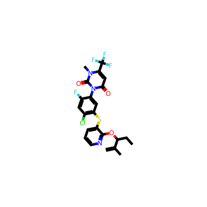 C=C(C)C(CC)Oc1ncccc1Sc1cc(-n2c(=O)cc(C(F)(F)F)n(C)c2=O)c(F)cc1Cl